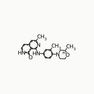 Cc1cc2cc[nH]c(=O)c2c(Nc2ccc(N3CCO[C@H](C)C3)c(C)c2)n1